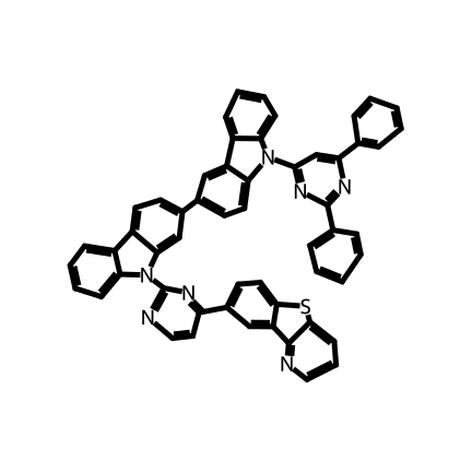 c1ccc(-c2cc(-n3c4ccccc4c4cc(-c5ccc6c7ccccc7n(-c7nccc(-c8ccc9sc%10cccnc%10c9c8)n7)c6c5)ccc43)nc(-c3ccccc3)n2)cc1